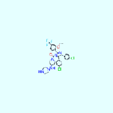 CCOc1cc(C(F)(F)F)ccc1C1=NC(c2ccc(Cl)cc2)C(c2ccc(Cl)cc2)N1C(=O)N1CCC(NN2CCNCC2)CC1